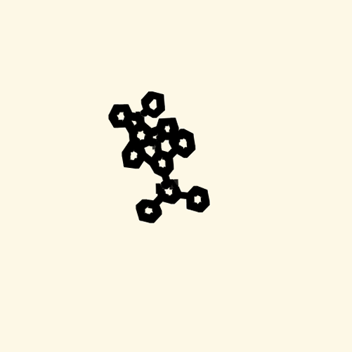 C1=CCC(n2c3ccccc3c3ccc4c(c5ccccc5n4-c4c(-c5ccccc5)cc(-c5nc(-c6ccccc6)cc(-c6ccccc6)n5)cc4-c4ccccc4)c32)C=C1